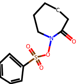 O=C1CCCCCN1OS(=O)(=O)c1ccccc1